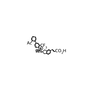 CC(=O)c1ccccc1-c1ccc(S(=O)(=O)NC2Cc3ccc(C=CC(=O)O)cc3C2)c(C(F)(F)F)c1